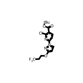 CC(C)(C)OC(=O)c1ccc(-n2ccc(OCCC(F)(F)F)n2)nc1Cl